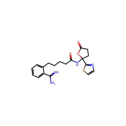 N=C(N)c1ccccc1CCCCC(=O)NC1(c2nccs2)CCC(=O)O1